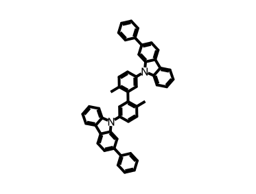 Cc1ccc(-n2c3ccccc3c3ccc(-c4ccccc4)cc32)cc1-c1cc(-n2c3ccccc3c3ccc(-c4ccccc4)cc32)ccc1C